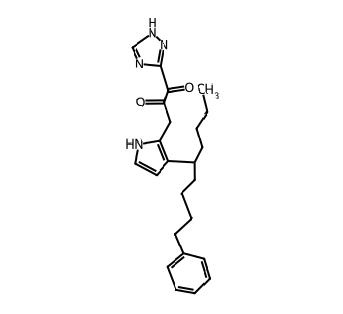 CCCCC(CCCCc1ccccc1)c1cc[nH]c1CC(=O)C(=O)c1nc[nH]n1